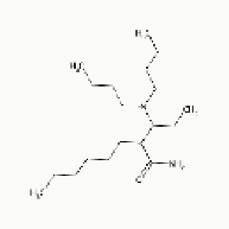 CCCCCCC(C(N)=O)C(CC)N(CCCC)CCCC